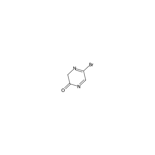 O=C1CN=C(Br)C=N1